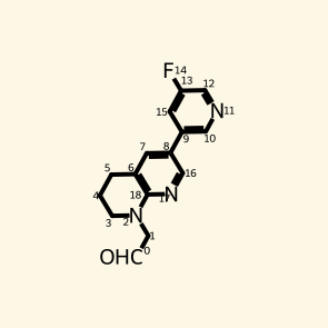 O=CCN1CCCc2cc(-c3cncc(F)c3)cnc21